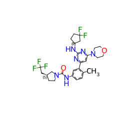 Cc1ccc(NC(=O)N2CC[C@@H](CC(F)(F)F)C2)cc1-c1cc(N2CCOCC2)nc(N[C@@H]2CCC(F)(F)C2)n1